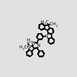 CC1(C)c2ccccc2-c2c1ccc1c3ccccc3n(-c3cccc(-c4nc(-c5ccccc5)c5c(n4)[Si](C)(C)c4ccccc4-5)c3)c21